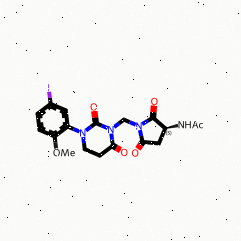 COc1ccc(I)cc1N1CCC(=O)N(CN2C(=O)C[C@H](NC(C)=O)C2=O)C1=O